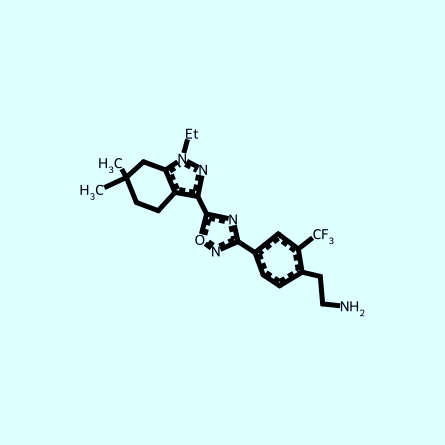 CCn1nc(-c2nc(-c3ccc(CCN)c(C(F)(F)F)c3)no2)c2c1CC(C)(C)CC2